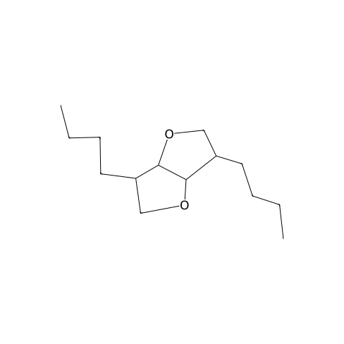 CCCCC1COC2C(CCCC)COC12